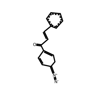 [N-]=[N+]=C1C=CC(C(=O)C=Cc2ccccc2)=CC1